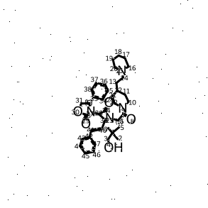 CC(C)(CO)C[C@@H](C(=O)N1CCC(CCN2CCCCC2)CC1)N1C(=O)C(N2C(=O)OC[C@@H]2c2ccccc2)C1C=Cc1ccccc1